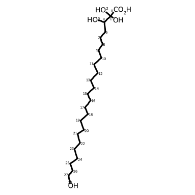 O=C(O)C(O)(O)C(O)CCCCCCCCCCCCCCCCCCCCCCO